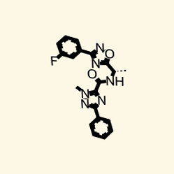 C[C@H](NC(=O)c1nc(-c2ccccc2)nn1C)c1nc(-c2cccc(F)c2)no1